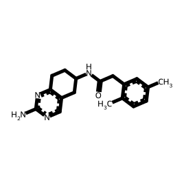 Cc1ccc(C)c(CC(=O)NC2CCc3nc(N)ncc3C2)c1